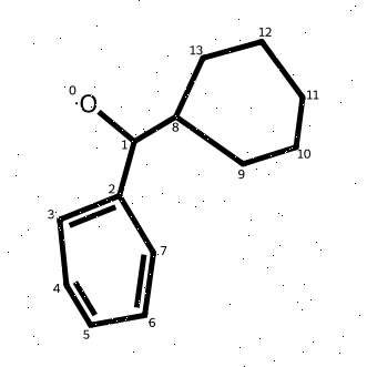 [O]C(c1ccccc1)C1CCCCC1